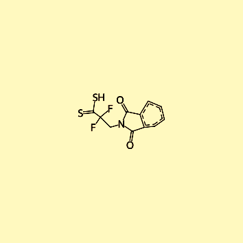 O=C1c2ccccc2C(=O)N1CC(F)(F)C(=S)S